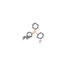 [I-].[I-].[Pd+2].c1ccc(P(c2ccccc2)c2ccccc2)cc1